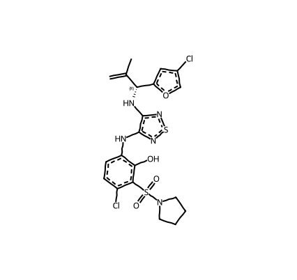 C=C(C)[C@@H](Nc1nsnc1Nc1ccc(Cl)c(S(=O)(=O)N2CCCC2)c1O)c1cc(Cl)co1